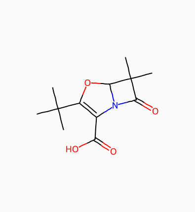 CC(C)(C)C1=C(C(=O)O)N2C(=O)C(C)(C)C2O1